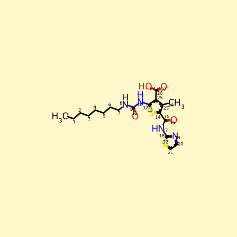 CCCCCCCCNC(=O)Nc1sc(C(=O)Nc2nccs2)c(C)c1C(=O)O